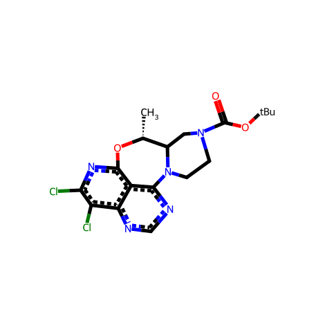 C[C@H]1Oc2nc(Cl)c(Cl)c3ncnc(c23)N2CCN(C(=O)OC(C)(C)C)CC12